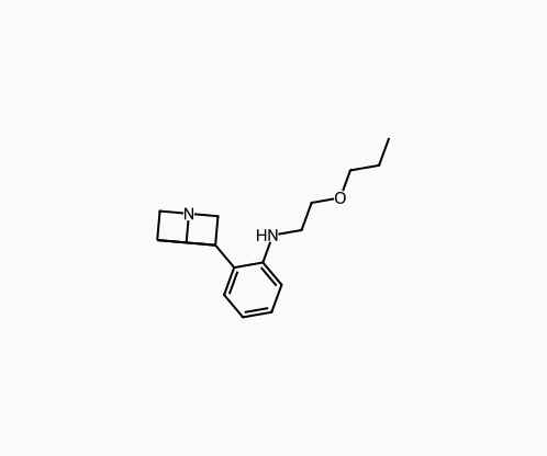 CCCOCCNc1ccccc1C12CN3CC1C32